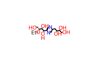 CCO[C@@H](CO)[C@@H](O)[C@H](O)c1cnc(C[C@H](O)[C@H](O)CO)cn1